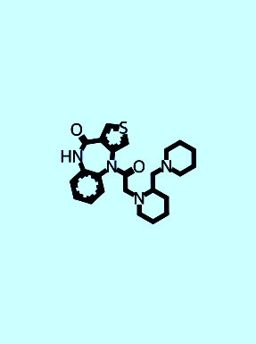 O=C1Nc2ccccc2N(C(=O)CN2CCCCC2CN2CCCCC2)c2cscc21